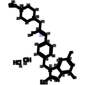 CCc1nc2c(C)cc(C)nc2n1Cc1ccc(/C=C(\F)CN2CCN(C(C)(C)C)CC2)cc1.Cl.Cl